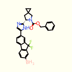 Bc1ccc2c(c1)C(F)(F)c1cc(-c3cnc([C@@H]4CC5(CC5)CN4C(=O)OCc4ccccc4)[nH]3)ccc1-2